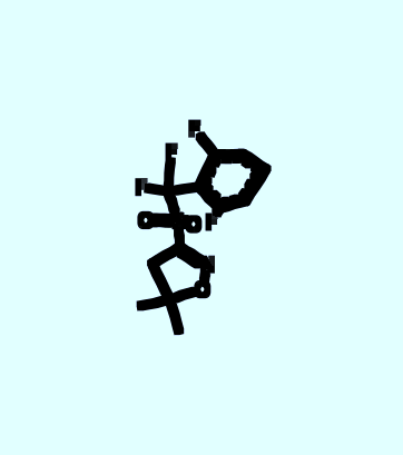 CC1(C)CC(S(=O)(=O)C(F)(F)c2c(F)cccc2F)=NO1